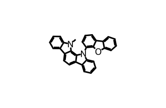 Cn1c2ccccc2c2ccc3c4ccccc4n(-c4cccc5c4oc4ccccc45)c3c21